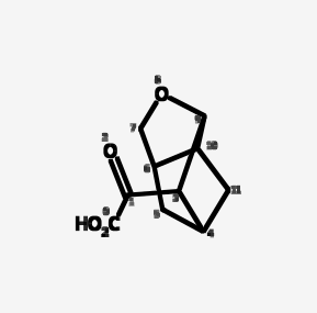 O=C(O)C(=O)C1C2CC3COC1C3C2